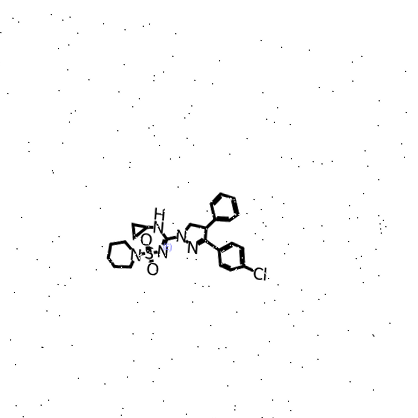 O=S(=O)(/N=C(\NC1CC1)N1CC(c2ccccc2)C(c2ccc(Cl)cc2)=N1)N1CCCCC1